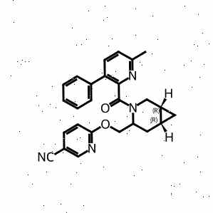 Cc1ccc(-c2ccccc2)c(C(=O)N2C[C@@H]3C[C@@H]3CC2COc2ccc(C#N)cn2)n1